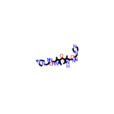 Cc1[nH]c(-c2nnc(CN3CCN(C)CC3)o2)c(C)c1C(=O)c1c(C)[nH]c(-c2nnc(CN3CCN(C)CC3)o2)c1C